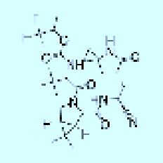 CC(OC(=O)N[C@H](C(=O)N1C[C@H]2[C@@H]([C@H]1C(=O)N[C@H](C#N)C[C@@H]1CC3(CC3)NC1=O)C2(C)C)C(C)(C)C)C(F)(F)F